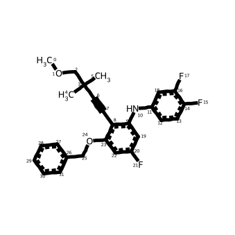 COCC(C)(C)C#Cc1c(Nc2ccc(F)c(F)c2)cc(F)cc1OCc1ccccc1